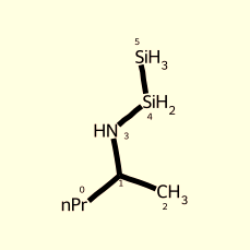 CCCC(C)N[SiH2][SiH3]